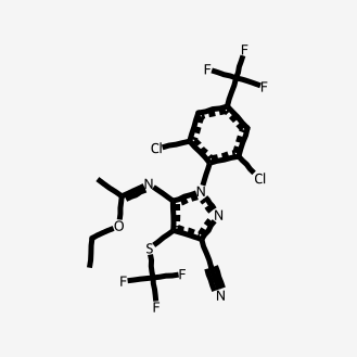 CCOC(C)=Nc1c(SC(F)(F)F)c(C#N)nn1-c1c(Cl)cc(C(F)(F)F)cc1Cl